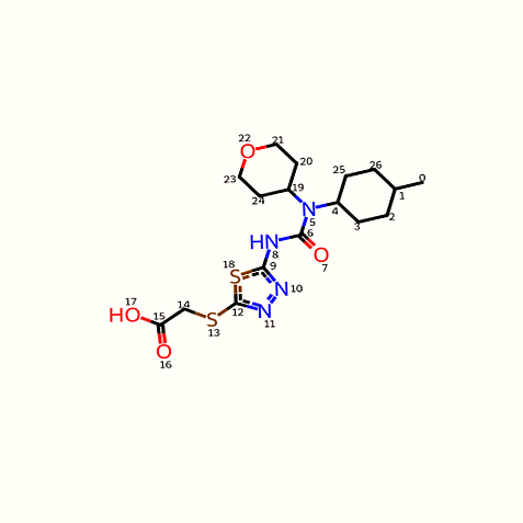 CC1CCC(N(C(=O)Nc2nnc(SCC(=O)O)s2)C2CCOCC2)CC1